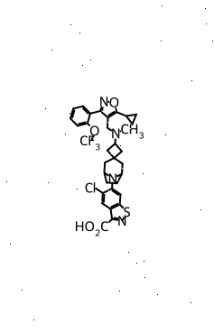 CN(Cc1c(-c2ccccc2OC(F)(F)F)noc1C1CC1)C1CC2(C1)CC1CCC(C2)N1c1cc2snc(C(=O)O)c2cc1Cl